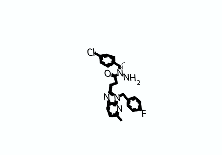 Cc1ccc2nc(CCC(=O)N(N)[C@@H](C)c3ccc(Cl)cc3)n(Cc3ccc(F)cc3)c2n1